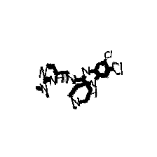 CN1CCC2(CC1)Nc1cc(Cl)c(Cl)cc1N=C2NCc1ccnc(N(C)C)n1